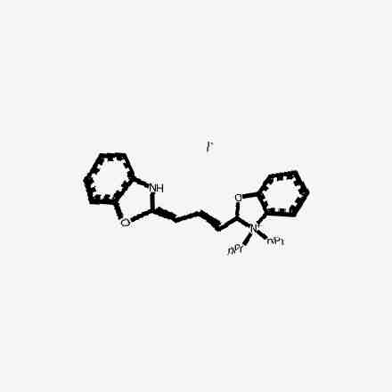 CCC[N+]1(CCC)c2ccccc2OC1C=CC=C1Nc2ccccc2O1.[I-]